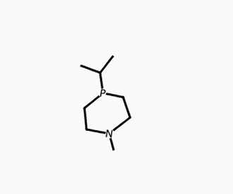 CC(C)P1CCN(C)CC1